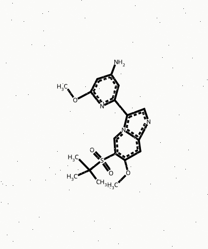 COc1cc(N)cc(-c2cnc3cc(OC)c(S(=O)(=O)C(C)(C)C)cn23)n1